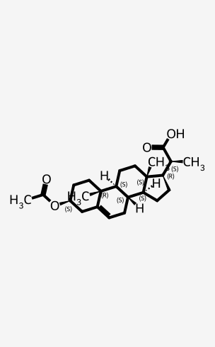 CC(=O)O[C@H]1CC[C@@]2(C)C(=CC[C@H]3[C@@H]4CC[C@H]([C@H](C)C(=O)O)[C@@]4(C)CC[C@@H]32)C1